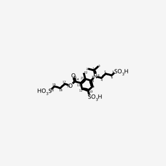 CC(C)=[N+](CCCS(=O)(=O)O)c1cc(S(=O)(=O)O)cc(C(=O)OCCCS(=O)(=O)O)c1C